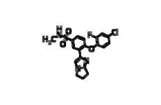 CNS(=O)(=O)c1ccc(Oc2ccc(Cl)cc2F)c(-c2cn3c(n2)CCC3)c1